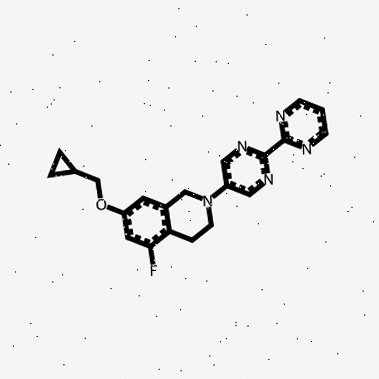 Fc1cc(OCC2CC2)cc2c1CCN(c1cnc(-c3ncccn3)nc1)C2